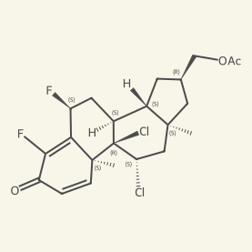 CC(=O)OC[C@@H]1C[C@H]2[C@@H]3C[C@H](F)C4=C(F)C(=O)C=C[C@]4(C)[C@@]3(Cl)[C@@H](Cl)C[C@]2(C)C1